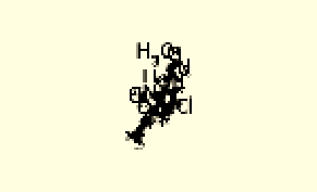 COc1cc(=O)n(Cc2cc3c(cc2Cl)[C@@](C#CC2CC2)(C(F)(F)F)OC(=O)N3)cn1